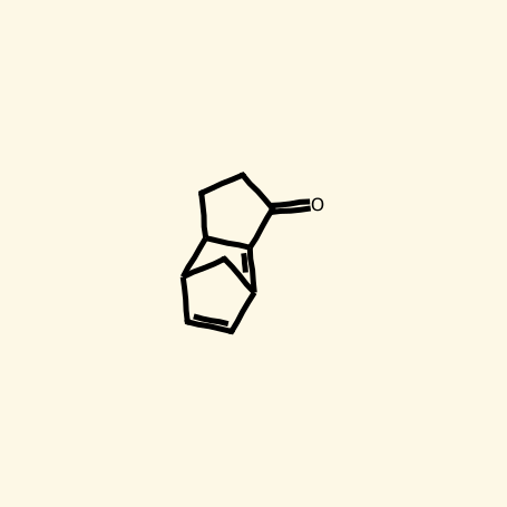 O=C1CCC2C1=C1C=CC2C1